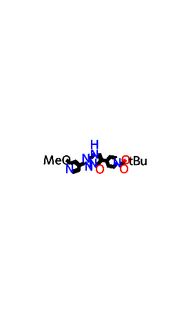 COc1cc(-c2nc3[nH]cc(C4CCN(C(=O)OC(C)(C)C)CC4)c(=O)n3n2)ccn1